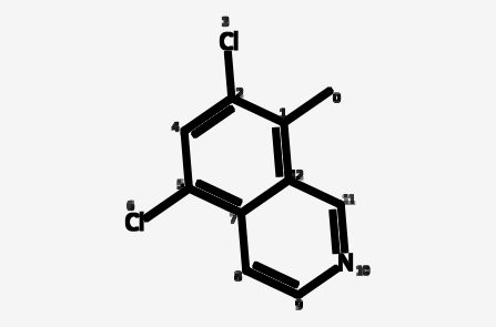 Cc1c(Cl)cc(Cl)c2ccncc12